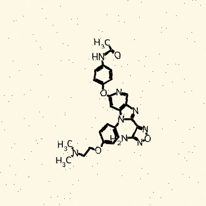 CC(=O)Nc1ccc(Oc2cc3c(cn2)nc(-c2nonc2N)n3-c2ccc(OCCN(C)C)cc2)cc1